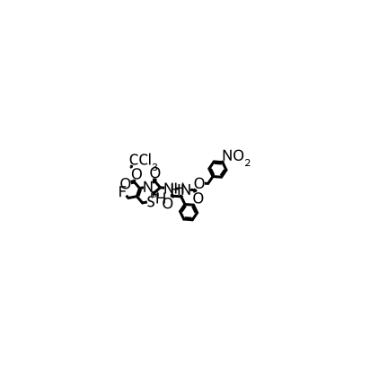 O=C(NC(C(=O)NC1C(=O)N2C(C(=O)OCC(Cl)(Cl)Cl)=C(CF)CS[C@@H]12)c1ccccc1)OCc1ccc([N+](=O)[O-])cc1